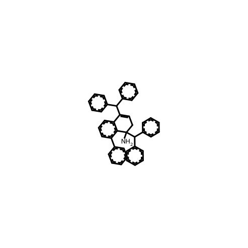 NC1(C(c2ccccc2)c2ccccc2)CC=C(C(c2ccccc2)c2ccccc2)c2cccc(-c3ccccc3)c21